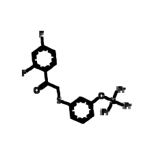 CC(C)[Si](Oc1cccc(SCC(=O)c2ccc(F)cc2F)c1)(C(C)C)C(C)C